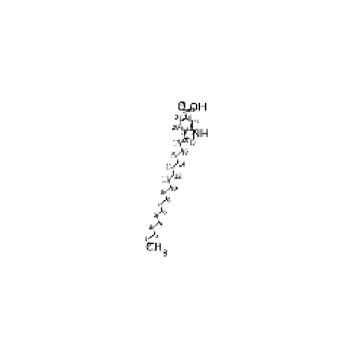 CCCCCCCCCCCCCCCCCCC1CNc2cc(C(=O)O)ccc21